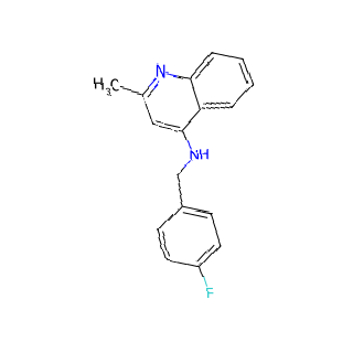 Cc1cc(NCc2ccc(F)cc2)c2ccccc2n1